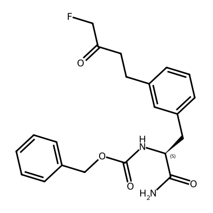 NC(=O)[C@H](Cc1cccc(CCC(=O)CF)c1)NC(=O)OCc1ccccc1